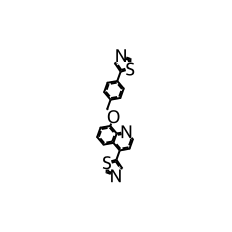 c1cc(OCc2ccc(-c3cncs3)cc2)c2nccc(-c3cncs3)c2c1